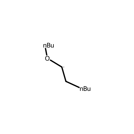 CCCCC[CH]OCCCC